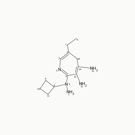 CCC1=CN=C(N(N)C2CCC2)C(N)=C(N)C1